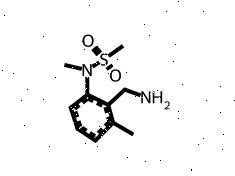 Cc1cccc(N(C)S(C)(=O)=O)c1CN